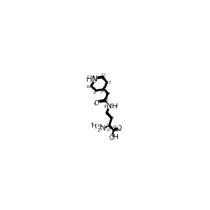 N[C@@H](CCNC(=O)CC1CCNCC1)C(=O)O